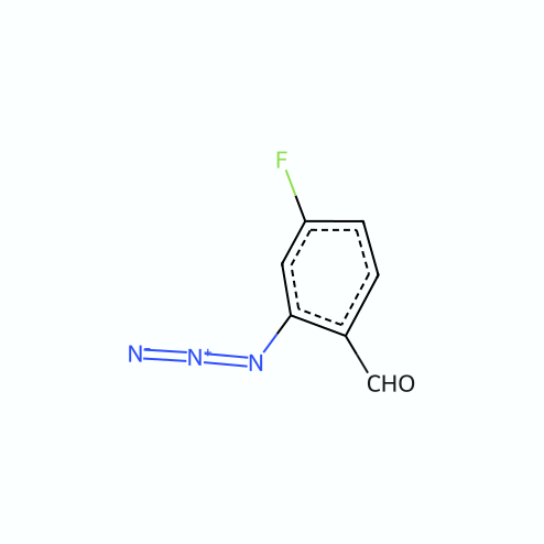 [N-]=[N+]=Nc1cc(F)ccc1C=O